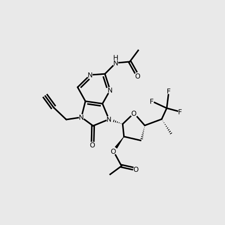 C#CCn1c(=O)n([C@@H]2O[C@H]([C@@H](C)C(F)(F)F)C[C@H]2OC(C)=O)c2nc(NC(C)=O)ncc21